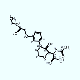 CCOC(=O)COc1cccc(N2CCOC([C@@H](OC(C)=O)C(=O)O)C2=O)c1